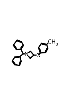 Cc1ccc(OC2CN(C(c3ccccc3)c3ccccc3)C2)cc1